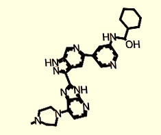 CN1CCN(c2ccnc3[nH]c(-c4n[nH]c5cnc(-c6cncc(NC(O)C7CCCCC7)c6)cc45)nc23)CC1